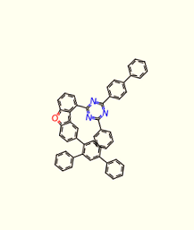 c1ccc(-c2ccc(-c3nc(-c4ccccc4)nc(-c4cccc5oc6ccc(-c7ccc(-c8ccccc8)cc7-c7ccccc7)cc6c45)n3)cc2)cc1